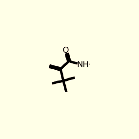 C=C(C([NH])=O)C(C)(C)C